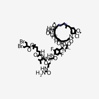 COc1cc2cc(c1Cl)N(C)C(=O)C[C@H](OC(=O)[C@H](C)N(C)C(=O)c1cc(F)c(NC(=O)[C@H](CCCNC(N)=O)NC(=O)[C@@H](NC(C=O)CCCC(C)(C)OC(=O)C(CBr)CBr)C(C)C)cc1F)[C@]1(C)O[C@H]1[C@H](C)[C@@H]1C[C@@](O)(NC(=O)O1)[C@H](OC)/C=C/C=C(\C)C2